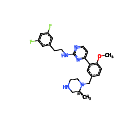 COc1ccc(CN2CCNC[C@@H]2C)cc1-c1ccnc(NCCc2cc(F)cc(F)c2)n1